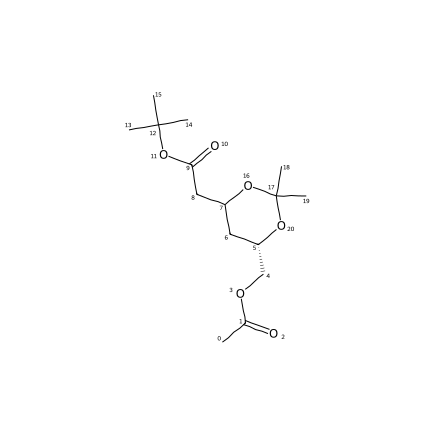 CC(=O)OC[C@@H]1CC(CC(=O)OC(C)(C)C)OC(C)(C)O1